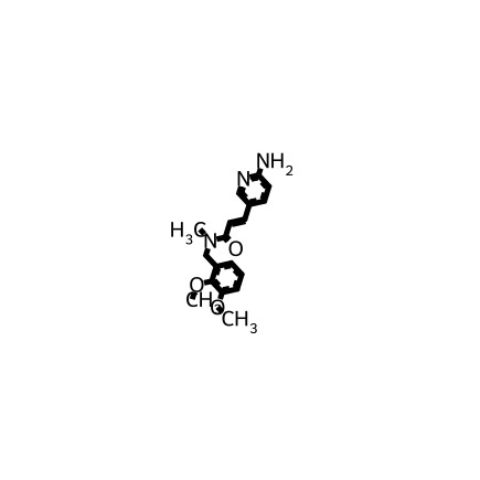 COc1cccc(CN(C)C(=O)C=Cc2ccc(N)nc2)c1OC